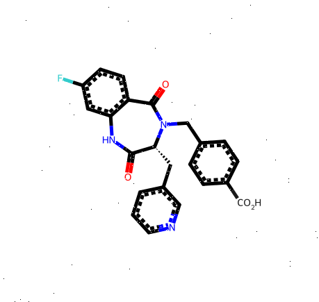 O=C(O)c1ccc(CN2C(=O)c3ccc(F)cc3NC(=O)[C@H]2Cc2cccnc2)cc1